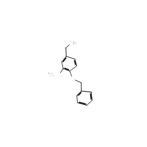 COc1cc(CS)ccc1OCc1ccccc1